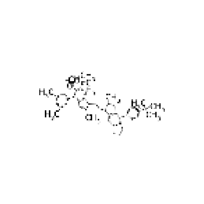 COc1c(C(C)(C)C)cc2c(c1-c1cc(C)cc(C)c1)C=C(C)C2CCC1c2cc3c(c(-c4ccc(C(C)(C)C)cc4)c2CC1C)CCC3